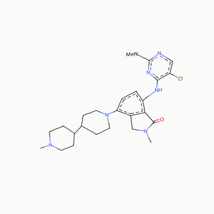 CNc1ncc(Cl)c(Nc2ccc(N3CCC(C4CCN(C)CC4)CC3)c3c2C(=O)N(C)C3)n1